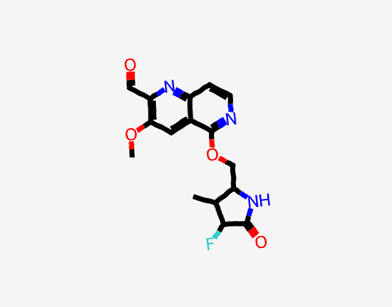 COc1cc2c(OCC3NC(=O)C(F)C3C)nccc2nc1C=O